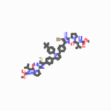 COC(=O)N[C@H](C(=O)N1CCC[C@H]1c1nc(-c2ccc(-c3ccc(-c4ccc(-c5nc([C@@H]6CCCN6C(=O)[C@@H](NC(=O)OC)C(C)C)[nH]c5Br)cc4)n3-c3ccc(C(C)(C)C)cc3)cc2)c(Br)[nH]1)C(C)C